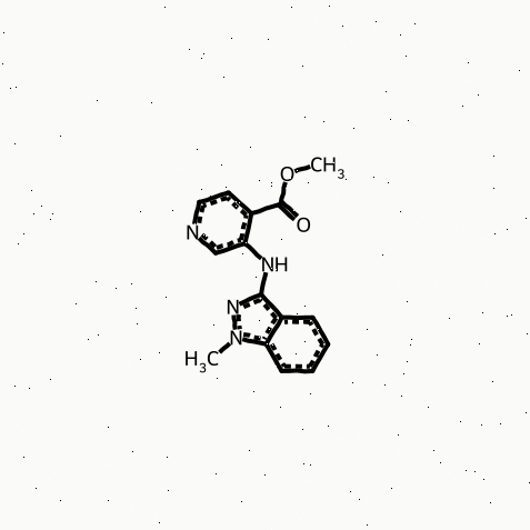 COC(=O)c1ccncc1Nc1nn(C)c2ccccc12